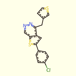 Clc1ccc(-c2cc3c(Cc4ccsc4)nncc3s2)cc1